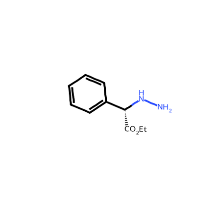 CCOC(=O)[C@@H](NN)c1ccccc1